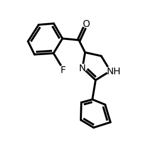 O=C(c1ccccc1F)C1CNC(c2ccccc2)=N1